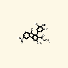 COC(=O)c1c(C)nc2c(c1-c1cc(Br)c(O)c(Br)c1)C(=O)c1ccc([N+](=O)[O-])cc1-2